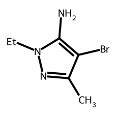 CCn1nc(C)c(Br)c1N